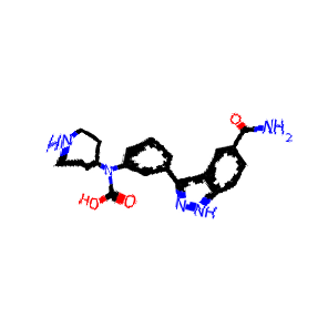 NC(=O)c1ccc2[nH]nc(-c3cccc(N(C(=O)O)C4CCNCC4)c3)c2c1